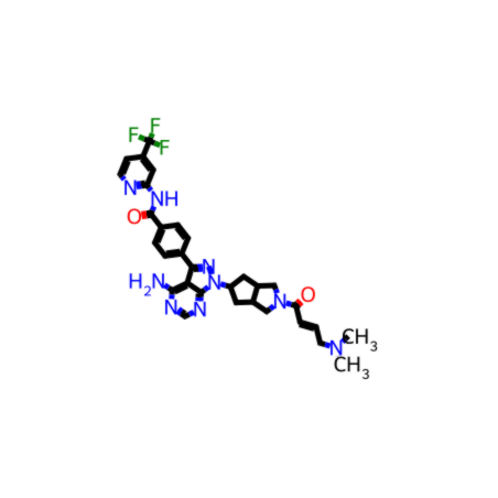 CN(C)CC=CC(=O)N1CC2CC(n3nc(-c4ccc(C(=O)Nc5cc(C(F)(F)F)ccn5)cc4)c4c(N)ncnc43)CC2C1